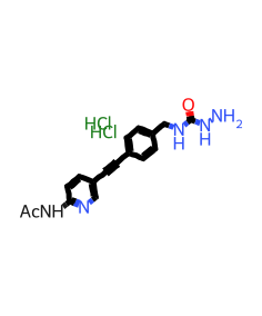 CC(=O)Nc1ccc(C#Cc2ccc(CNC(=O)NN)cc2)cn1.Cl.Cl